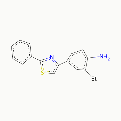 CCc1cc(-c2csc(-c3ccccc3)n2)ccc1N